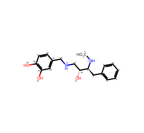 O=C(O)N[C@@H](Cc1ccccc1)[C@H](O)CNCc1ccc(O)c(O)c1